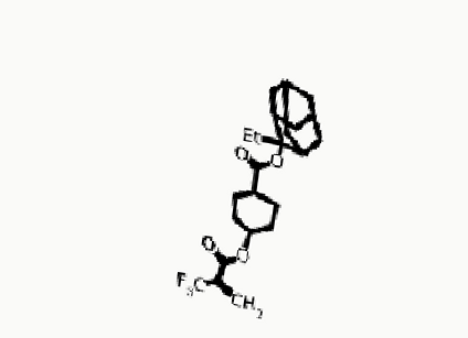 C=C(C(=O)OC1CCC(C(=O)OC2(CC)C3CC4CC(C3)CC2C4)CC1)C(F)(F)F